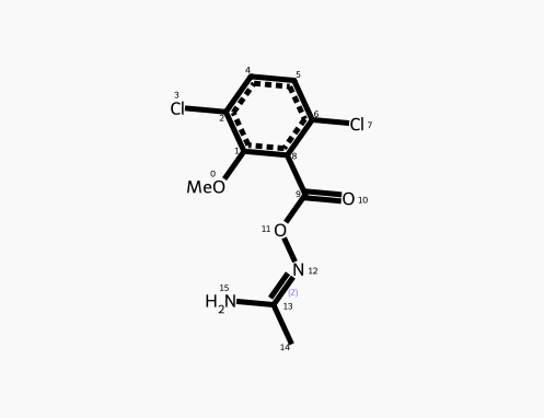 COc1c(Cl)ccc(Cl)c1C(=O)O/N=C(/C)N